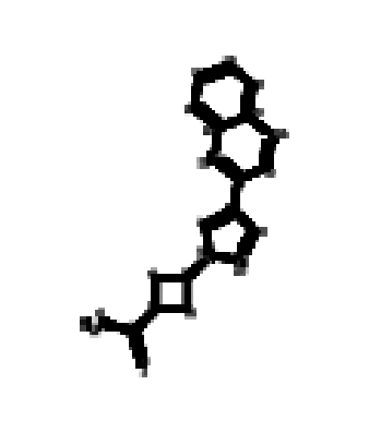 NC(=O)C1CC(n2cc(-c3cnc4ccccc4n3)cn2)C1